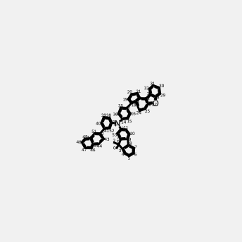 CC1(C)c2ccccc2-c2ccc(N(c3ccc(-c4cccc5c4ccc4oc6ccccc6c45)cc3)c3cccc(-c4ccc5ccccc5c4)c3)cc21